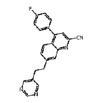 N#Cc1cc(-c2ccc(F)cc2)c2ccc(CCc3cncnc3)cc2n1